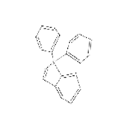 [C]1=Cc2ccccc2S1(c1ccccc1)c1ccccc1